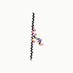 CCCCCCCCCCCCCC(=O)OCCN(CCOC(=O)CCCCCCCCCCCCC)C(=O)CSCC[N+](C)(C)CCO